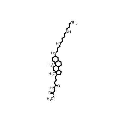 COC(=O)CNC(=O)CCCC1CCC2C3CCC4CC(NCCCNCCCCNCCCN)CCC4(C)C3CCC12C